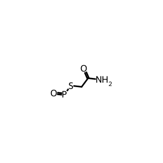 NC(=O)CSP=O